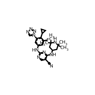 CC1(C)CC(Nc2nc(Nc3cc(F)c(C4CC4)c(-n4cnnn4)c3)ncc2C#N)CC(C)(C)N1